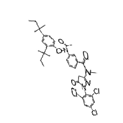 CCC(C)(C)c1ccc(ON(C(C)=O)c2cccc(C(=O)N(C)C3=NN(c4c(Cl)cc(Cl)cc4Cl)C(=O)C3)c2)c(C(C)(C)CC)c1